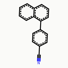 N#Cc1ccc(-c2cccc3ccccc23)cc1